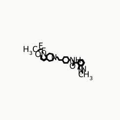 CC(Oc1ccc2c(n1)CCN(CCC1CCC(NC(=O)c3cccc4nn(C)cc34)CC1)CC2)C(F)F